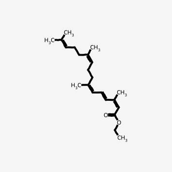 CCOC(=O)C=C(C)C=CC=C(C)CCC=C(C)CCC=C(C)C